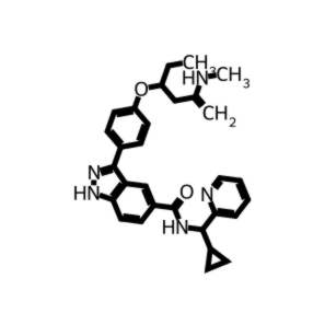 C=C(CC(CC)Oc1ccc(-c2n[nH]c3ccc(C(=O)NC(c4ccccn4)C4CC4)cc23)cc1)NC